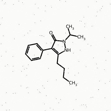 CCCCc1[nH]n(C(C)C)c(=O)c1-c1ccccc1